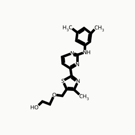 Cc1cc(C)cc(Nc2nccc(-c3nc(C)c(COCCO)s3)n2)c1